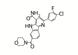 NC(=O)c1cc(-c2ccc(Cl)c(F)c2)nc2c1[nH]c1cc(C(=O)N3CCOCC3)ccc12